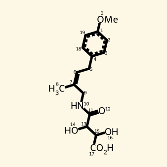 COc1ccc(CC=C(C)CNC(=O)C(O)C(O)C(=O)O)cc1